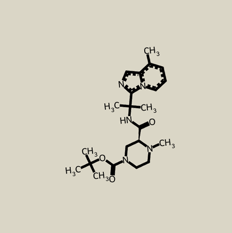 Cc1cccn2c(C(C)(C)NC(=O)[C@@H]3CN(C(=O)OC(C)(C)C)CCN3C)ncc12